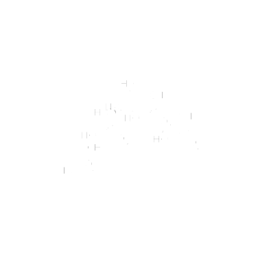 C=CC.CC(=O)O.CC(=O)O.CC(=O)O.COC